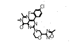 Cc1nc(C2CN(c3nc(-c4ccc(Cl)cc4F)c4nc(C)n(C)c(=O)c4n3)CCO2)no1